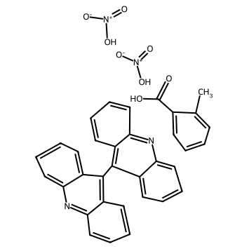 Cc1ccccc1C(=O)O.O=[N+]([O-])O.O=[N+]([O-])O.c1ccc2c(-c3c4ccccc4nc4ccccc34)c3ccccc3nc2c1